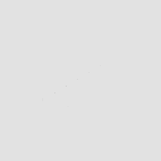 CC(F)(F)C(F)(F)C(F)(F)C(F)(F)C(F)(C(F)(F)F)C(F)(F)F